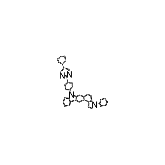 c1ccc(-c2cnc(-c3ccc(-n4c5ccccc5c5cc6c(ccc7c6ccn7-c6ccccc6)cc54)cc3)nc2)cc1